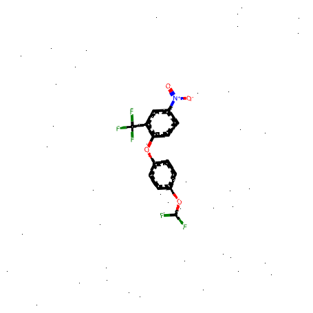 O=[N+]([O-])c1ccc(Oc2ccc(OC(F)F)cc2)c(C(F)(F)F)c1